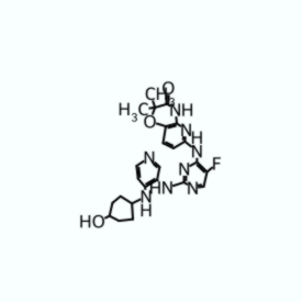 CC1(C)Oc2ccc(Nc3nc(Nc4cnccc4NC4CCC(O)CC4)ncc3F)nc2NC1=O